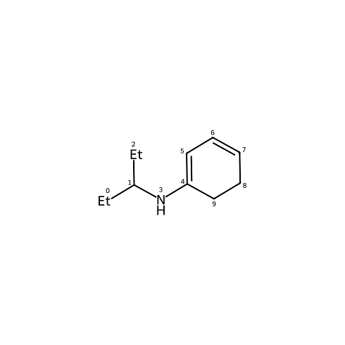 CCC(CC)NC1=CC=CCC1